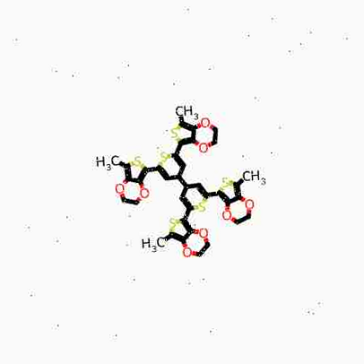 Cc1sc(C2=CC(C3C=C(c4sc(C)c5c4OCCO5)SC(c4sc(C)c5c4OCCO5)=C3)C=C(c3sc(C)c4c3OCCO4)S2)c2c1OCCO2